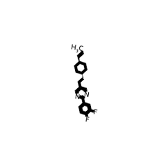 CC=C[C@H]1CC[C@H](CCc2cnc(-c3ccc(F)c(F)c3)nc2)CC1